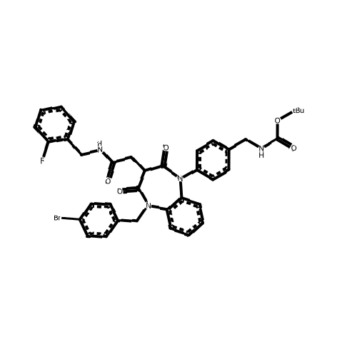 CC(C)(C)OC(=O)NCc1ccc(N2C(=O)C(CC(=O)NCc3ccccc3F)C(=O)N(Cc3ccc(Br)cc3)c3ccccc32)cc1